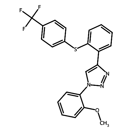 COc1ccccc1-n1cc(-c2ccccc2Sc2ccc(C(F)(F)F)cc2)nn1